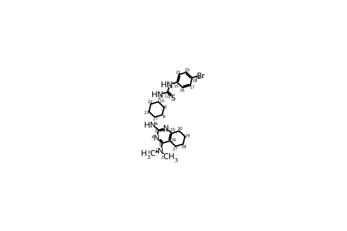 CN(C)c1nc(N[C@H]2CC[C@@H](NC(=S)Nc3ccc(Br)cc3)CC2)nc2c1CCCC2